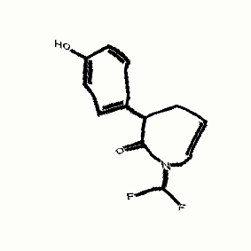 O=C1C(c2ccc(O)cc2)CC=CN1C(F)F